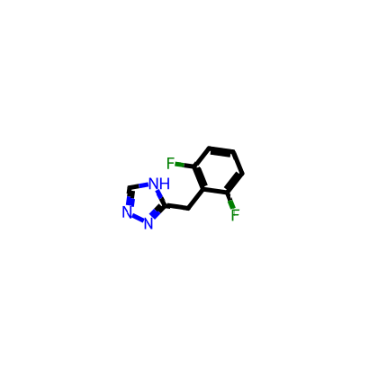 Fc1cccc(F)c1Cc1nnc[nH]1